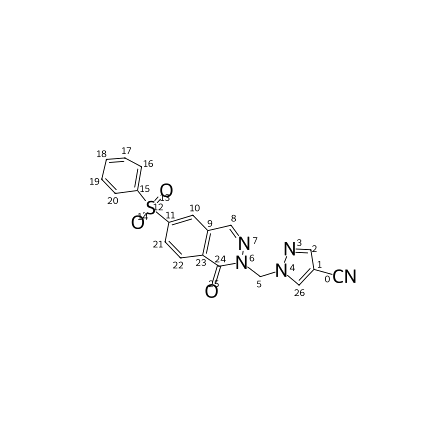 N#Cc1cnn(Cn2ncc3cc(S(=O)(=O)c4ccccc4)ccc3c2=O)c1